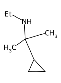 C[CH]NC(C)(C)C1CC1